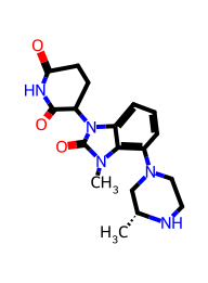 C[C@@H]1CN(c2cccc3c2n(C)c(=O)n3C2CCC(=O)NC2=O)CCN1